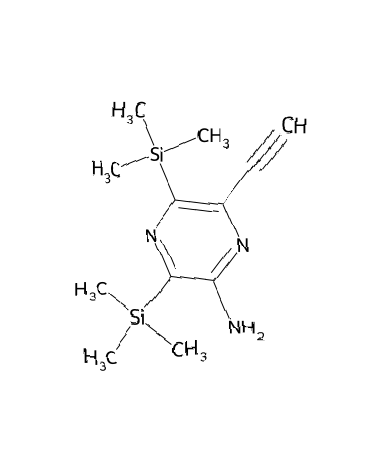 C#Cc1nc(N)c([Si](C)(C)C)nc1[Si](C)(C)C